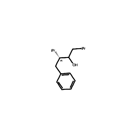 CC(C)CC(O)[C@H](Cc1ccccc1)C(C)C